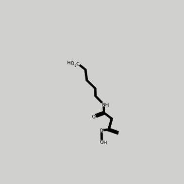 C=C(CC(=O)NCCCCC(=O)O)OO